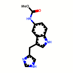 COC(=O)Nc1ccc2[nH]cc(Cc3c[nH]cn3)c2c1